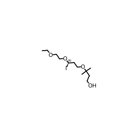 CCOCCO[C@H](I)CCOC(C)(C)CCO